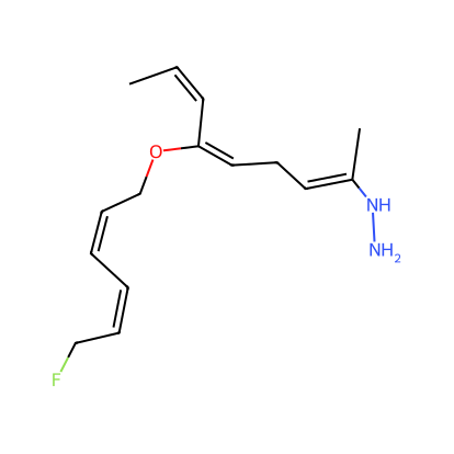 C/C=C\C(=C/C/C=C(\C)NN)OC/C=C\C=C/CF